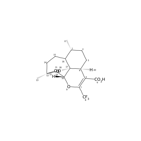 C[C@@H]1CC[C@H]2C(C(=O)O)=C(C(F)(F)F)O[C@@H]3O[C@]4(C)CCC1[C@]32OO4